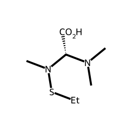 CCSN(C)[C@H](C(=O)O)N(C)C